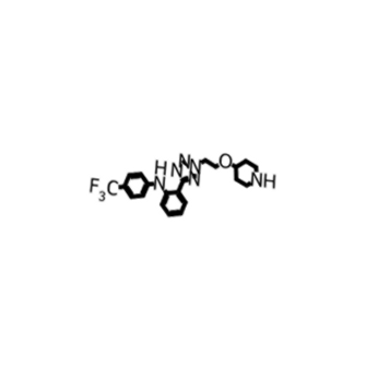 FC(F)(F)c1ccc(Nc2ccccc2-c2nnn(CCOC3CCNCC3)n2)cc1